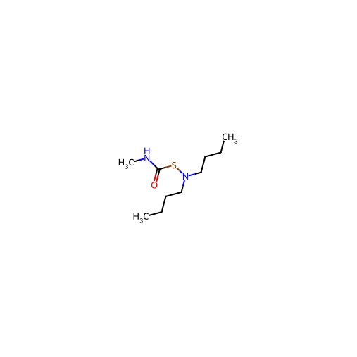 CCCCN(CCCC)SC(=O)NC